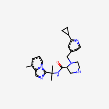 Cc1cccn2c(C(C)(C)NC(=O)[C@@H]3CNCCN3Cc3ccnc(C4CC4)c3)ncc12